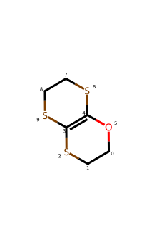 C1CSC2=C(O1)SCCS2